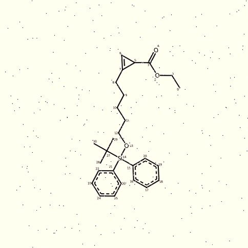 CCOC(=O)C1C=C1CCCCCO[Si](c1ccccc1)(c1ccccc1)C(C)(C)C